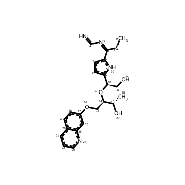 CS/C(=N/C=N)c1ccc([C@@H](CO)O[C@H](COc2ccc3cccnc3c2)[C@H](C)O)[nH]1